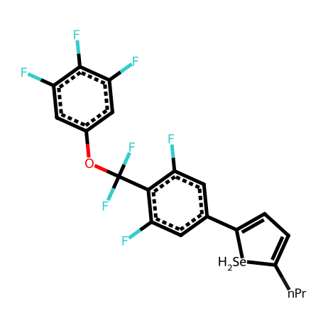 CCCC1=CC=C(c2cc(F)c(C(F)(F)Oc3cc(F)c(F)c(F)c3)c(F)c2)[SeH2]1